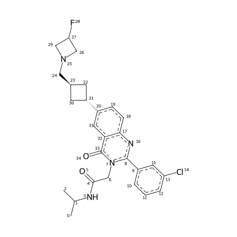 CC(C)NC(=O)Cn1c(-c2cccc(Cl)c2)nc2ccc([C@H]3C[C@H](CN4CC(F)C4)C3)cc2c1=O